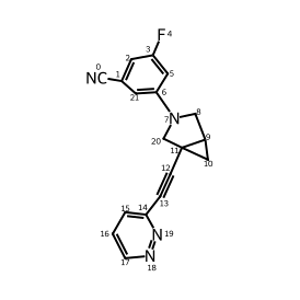 N#Cc1cc(F)cc(N2CC3CC3(C#Cc3cccnn3)C2)c1